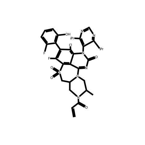 C=CC(=O)N1CC2CS(=O)(=O)c3c(F)c(-c4c(O)cccc4F)c(Cl)c4c3c(nc(=O)n4-c3c(C(C)C)ncnc3C(C)C)N2CC1C